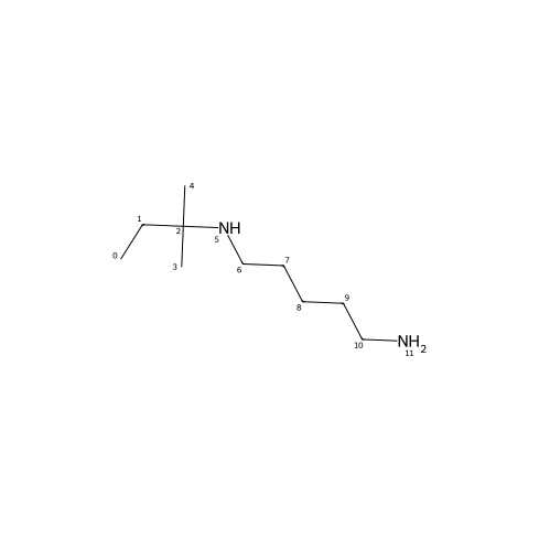 CCC(C)(C)NCCCCCN